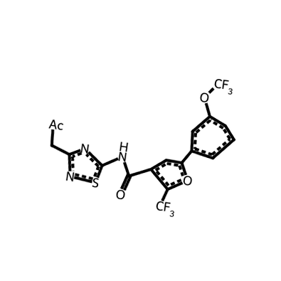 CC(=O)Cc1nsc(NC(=O)c2cc(-c3cccc(OC(F)(F)F)c3)oc2C(F)(F)F)n1